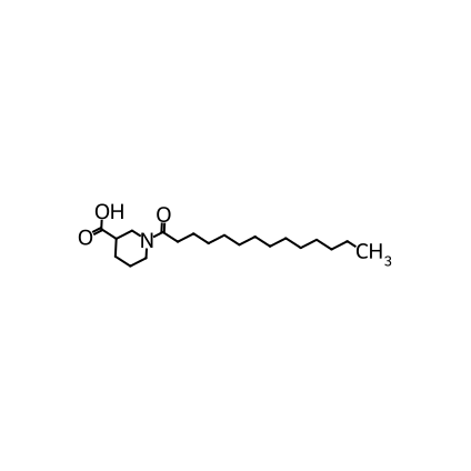 CCCCCCCCCCCCCC(=O)N1CCCC(C(=O)O)C1